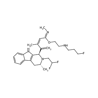 C=C(/C(C)=C\C(=N/C)OCCNCCCF)[C@@H]1c2[nH]c3ccccc3c2C[C@@H](C)N1CC(F)F